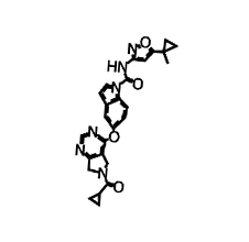 CC1(c2cc(NC(=O)n3ccc4cc(Oc5ncnc6c5CN(C(=O)C5CC5)C6)ccc43)no2)CC1